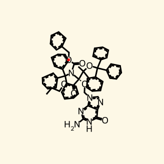 CCCOC(=O)[C@@](OCn1cnc2c(=O)[nH]c(N)nc21)(N(C(=O)OCc1ccccc1)C(c1ccccc1)(c1ccccc1)c1ccccc1)C(C)(C)OC(c1ccccc1)(c1ccccc1)c1ccccc1